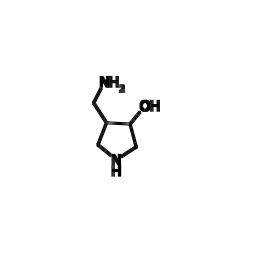 NCC1CNCC1O